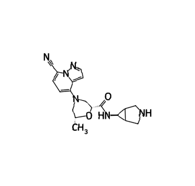 C[C@@H]1CN(c2ccc(C#N)n3nccc23)C[C@H](C(=O)NC2C3CNCC32)O1